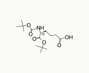 CC(C)(C)OC(=O)N[C@@H](CCCC(=O)O)C(=O)OC(C)(C)C